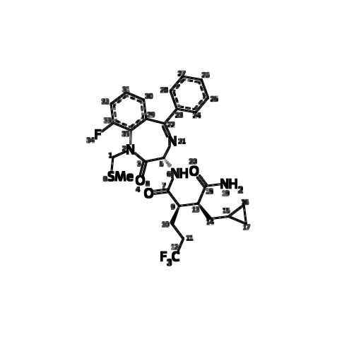 CSCN1C(=O)[C@@H](NC(=O)[C@H](CCC(F)(F)F)[C@H](CC2CC2)C(N)=O)N=C(c2ccccc2)c2cccc(F)c21